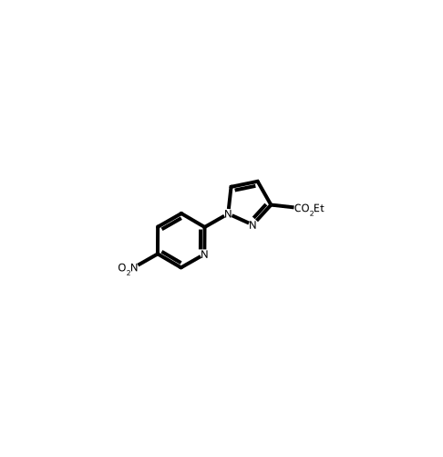 CCOC(=O)c1ccn(-c2ccc([N+](=O)[O-])cn2)n1